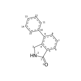 O=C1NCc2c1cccc2-c1ccccc1